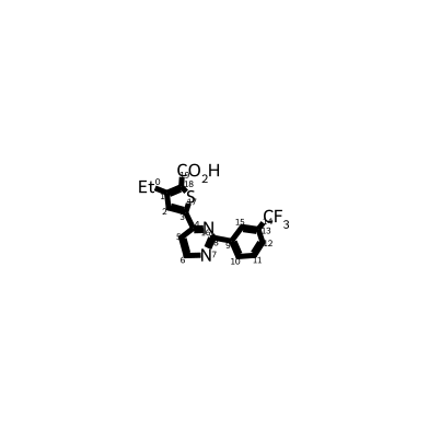 CCc1cc(-c2ccnc(-c3cccc(C(F)(F)F)c3)n2)sc1C(=O)O